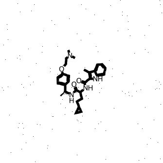 Cc1c(C(=O)NC(CCC2CC2)C(=O)N[C@@H](C)c2ccc(OCCN(C)C)cc2)[nH]c2ccccc12